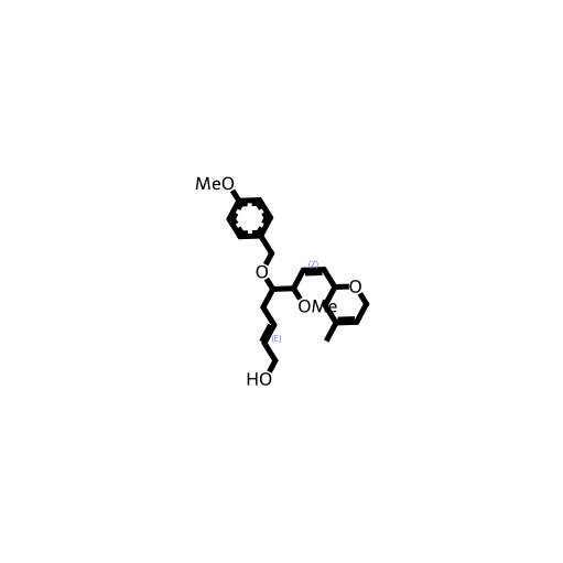 COc1ccc(COC(C/C=C/CO)C(/C=C\C2CC(C)=CCO2)OC)cc1